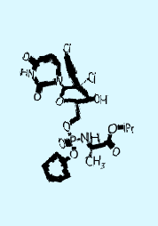 CC(C)OC(=O)[C@H](C)N[P@](=O)(OC[C@H]1O[C@@H](n2ccc(=O)[nH]c2=O)[C@@](Cl)(C#CCl)C1O)Oc1ccccc1